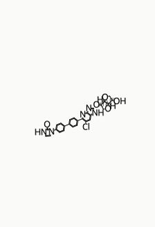 O=c1[nH]ccn1-c1ccc(-c2ccc(-c3nc4nc(O[C@@H]5CO[C@H]6[C@@H]5OC[C@H]6O)[nH]c4cc3Cl)cc2)cc1